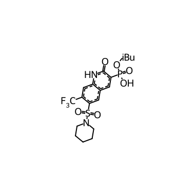 CCC(C)OP(=O)(O)c1cc2cc(S(=O)(=O)N3CCCCC3)c(C(F)(F)F)cc2[nH]c1=O